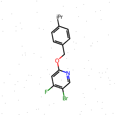 CC(C)c1ccc(COc2cc(F)c(Br)cn2)cc1